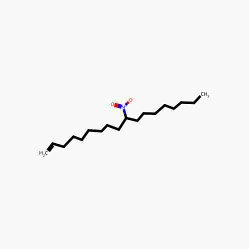 C=CCCCCCCCC(CCCCCCCC)[N+](=O)[O-]